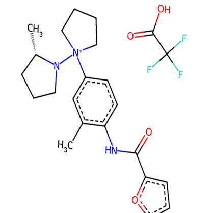 Cc1cc([N+]2(N3CCC[C@@H]3C)CCCC2)ccc1NC(=O)c1ccco1.O=C(O)C(F)(F)F